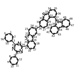 c1ccc(-c2nc(-c3ccccc3)nc(-c3cccc4c3sc3ccc(-c5ccc6c(c5)sc5cccc(-n7c8ccccc8c8ccccc87)c56)cc34)n2)cc1